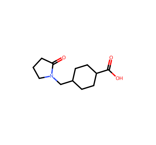 O=C(O)C1CCC(CN2CCCC2=O)CC1